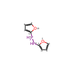 c1coc(P[PH3]c2ccco2)c1